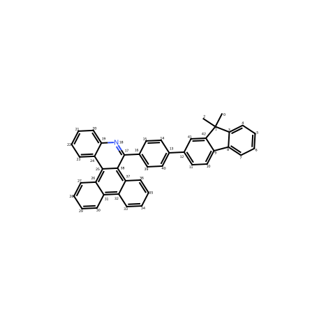 CC1(C)c2ccccc2-c2ccc(-c3ccc(-c4nc5ccccc5c5c6ccccc6c6ccccc6c45)cc3)cc21